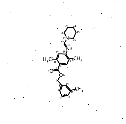 Cc1cc(C(=O)OCc2cccc(C(F)(F)F)c2)c(C)cc1/N=C/N1CCCCC1